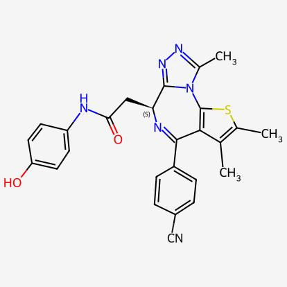 Cc1sc2c(c1C)C(c1ccc(C#N)cc1)=N[C@@H](CC(=O)Nc1ccc(O)cc1)c1nnc(C)n1-2